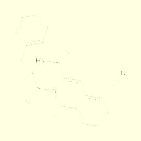 C=Cc1cccc(C#N)c1/C=C1/C(=O)NC(C)(Cc2ccccc2)C(=O)N1C